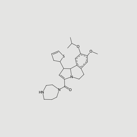 COc1cc2c(cc1OC(C)C)C1C(C3CC=CS3)C=C(C(=O)N3CCCNCC3)N1CC2